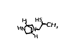 CC(S)CN1C[C@@H]2C[C@H]1CN2